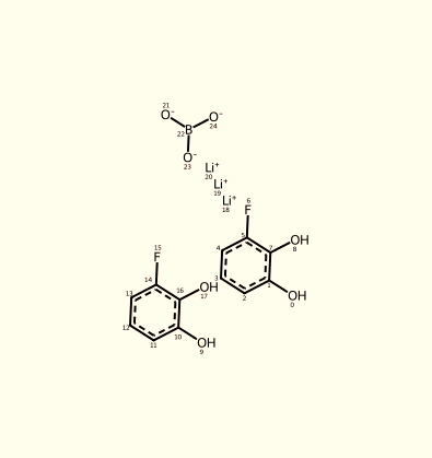 Oc1cccc(F)c1O.Oc1cccc(F)c1O.[Li+].[Li+].[Li+].[O-]B([O-])[O-]